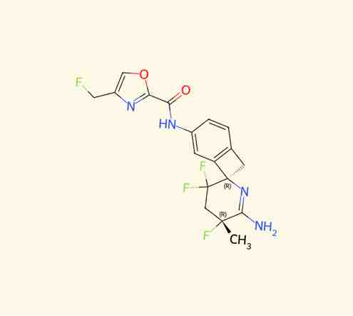 C[C@@]1(F)CC(F)(F)[C@]2(Cc3ccc(NC(=O)c4nc(CF)co4)cc32)N=C1N